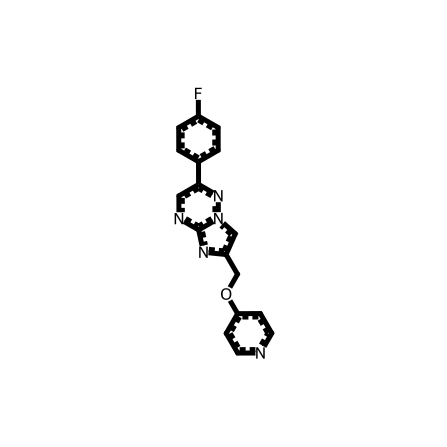 Fc1ccc(-c2cnc3nc(COc4ccncc4)cn3n2)cc1